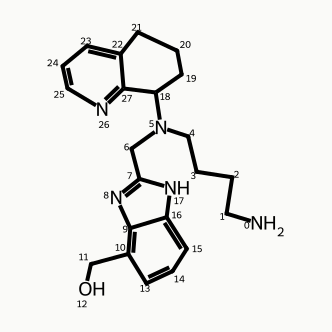 NCCCCN(Cc1nc2c(CO)cccc2[nH]1)C1CCCc2cccnc21